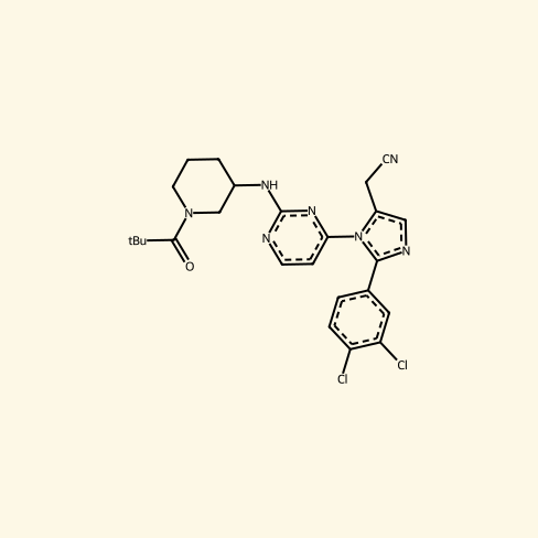 CC(C)(C)C(=O)N1CCCC(Nc2nccc(-n3c(CC#N)cnc3-c3ccc(Cl)c(Cl)c3)n2)C1